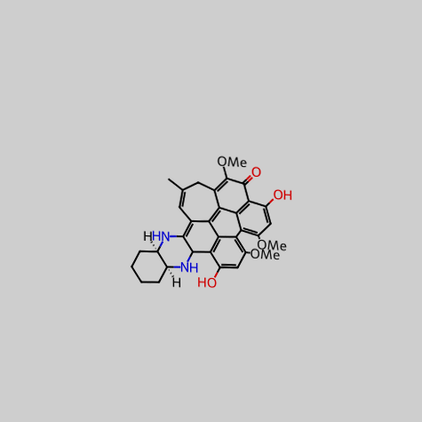 COC1=C2CC(C)=CC3=C4N[C@@H]5CCCC[C@@H]5NC4c4c(O)cc(OC)c5c4c3c2c2c(c(O)cc(OC)c25)C1=O